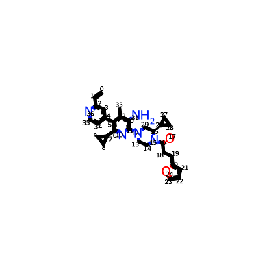 C=Cc1cc(-c2c(C3CC3)nc(N3CCN(C(=O)CCc4ccco4)[C@H](C4CC4)C3)c(N)c2C)ccn1